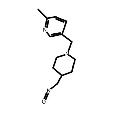 Cc1ccc(CN2CCC(CN=O)CC2)cn1